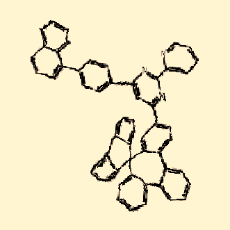 c1ccc(-c2nc(-c3ccc(-c4cccc5ccccc45)cc3)cc(-c3ccc4c(c3)C3(c5ccccc5-c5ccccc5-4)c4ccccc4-c4ccccc43)n2)nc1